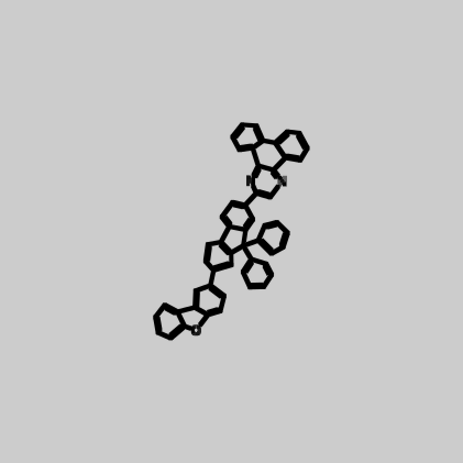 c1ccc(C2(c3ccccc3)c3cc(-c4ccc5oc6ccccc6c5c4)ccc3-c3ccc(-c4cnc5c6ccccc6c6ccccc6c5n4)cc32)cc1